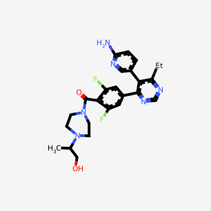 CCc1ncnc(-c2cc(F)c(C(=O)N3CCN(C(C)CO)CC3)c(F)c2)c1-c1ccc(N)nc1